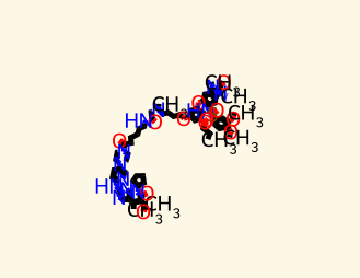 CCCOc1cc(OCCCCN(C)CC(=O)NCCCCCC(=O)N2CCN(c3ccc(Nc4ncc5c(C)c(C(C)=O)c(=O)n(C6CCCC6)c5n4)nc3)CC2)cc(Oc2cc3c(cc2NS(=O)(=O)c2ccc(OC)c(OC)c2)n(C)c(=O)n3C)c1